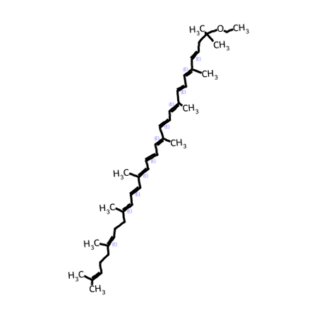 CCOC(C)(C)C/C=C/C(C)=C/C=C/C(C)=C/C=C/C(C)=C/C=C/C=C(C)/C=C/C=C(\C)CC/C=C(\C)CCC=C(C)C